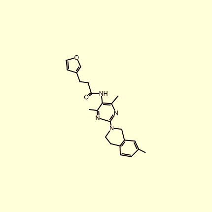 Cc1ccc2c(c1)CN(c1nc(C)c(NC(=O)CCc3ccoc3)c(C)n1)CC2